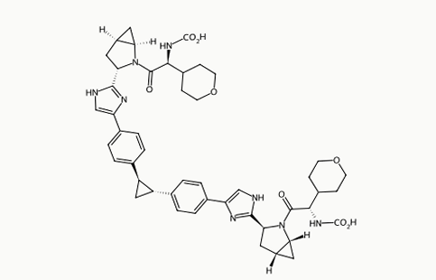 O=C(O)N[C@H](C(=O)N1[C@@H]2C[C@@H]2C[C@H]1c1nc(-c2ccc([C@@H]3C[C@H]3c3ccc(-c4c[nH]c([C@@H]5C[C@H]6C[C@H]6N5C(=O)[C@@H](NC(=O)O)C5CCOCC5)n4)cc3)cc2)c[nH]1)C1CCOCC1